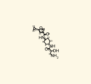 NCC(O)C(=O)NC1CCC(NC(=O)c2cc(C3CC3)on2)CC1